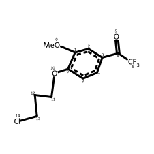 COc1cc(C(=O)C(F)(F)F)ccc1OCCCCl